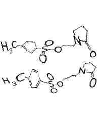 Cc1ccc(S(=O)(=O)OCCN2CCCC2=O)cc1.Cc1ccc(S(=O)(=O)OCCN2CCCC2=O)cc1